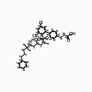 CN(CC(O)CNC(C)(C)CCCc1ccccc1)S(=O)(=O)c1c(Cl)cc(Cl)cc1-c1ccc(CCC(=O)O)cc1